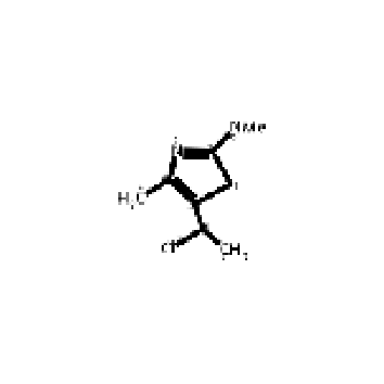 CNC1=NC(C)=C(C(C)Cl)C1